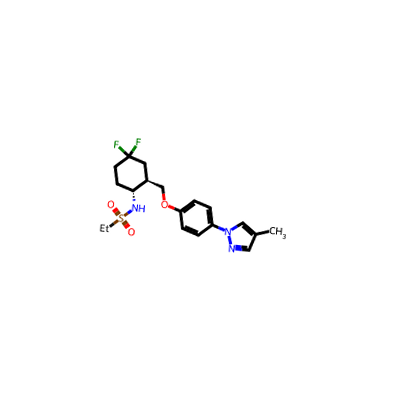 CCS(=O)(=O)N[C@@H]1CCC(F)(F)C[C@H]1COc1ccc(-n2cc(C)cn2)cc1